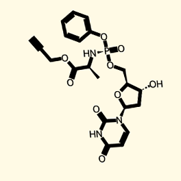 C#CCOC(=O)[C@H](C)N[P@](=O)(OC[C@@H]1O[C@H](n2ccc(=O)[nH]c2=O)C[C@H]1O)Oc1ccccc1